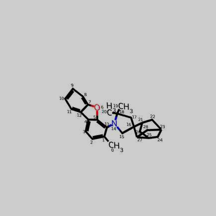 Cc1ccc2c(oc3ccccc32)c1N1CC2(CC1(C)C)C1CC3CC(C1)C2C3